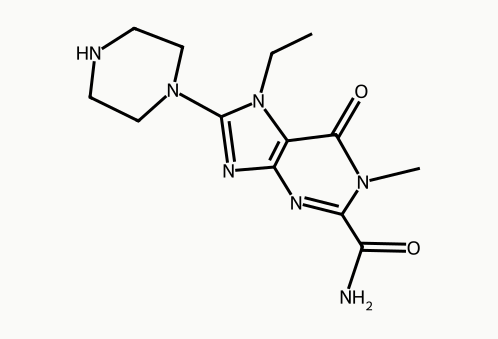 CCn1c(N2CCNCC2)nc2nc(C(N)=O)n(C)c(=O)c21